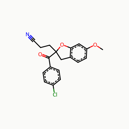 COc1ccc2c(c1)OC(CCC#N)(C(=O)c1ccc(Cl)cc1)C2